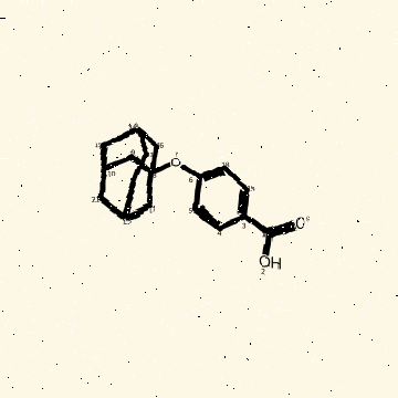 O=C(O)c1ccc(OC23CC4CC(CC(C4)C2)C3)cc1